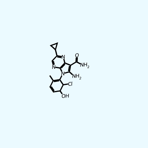 CC1=C(n2c(N)c(C(N)=O)c3nc(C4CC4)cnc32)C(Cl)C(O)C=C1